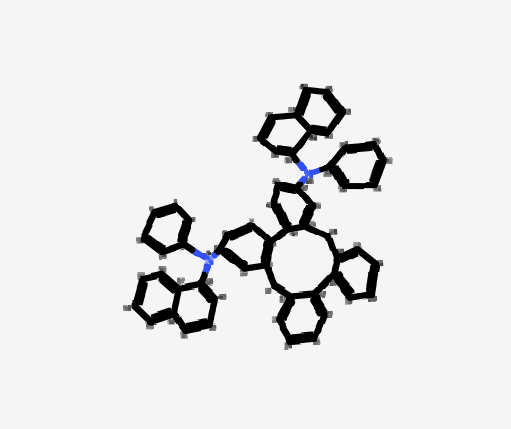 c1ccc(N(c2ccc3c(c2)Cc2ccccc2-c2ccccc2Cc2cc(N(c4ccccc4)c4cccc5ccccc45)ccc2-3)c2cccc3ccccc23)cc1